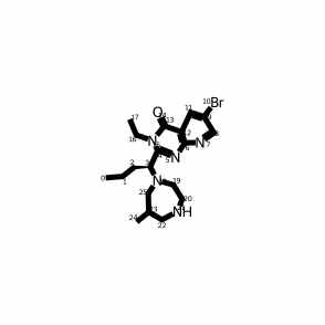 CCC[C@@H](c1nc2ncc(Br)cc2c(=O)n1CC)N1CCNCC(C)C1